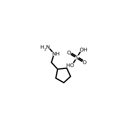 NNCC1CCCC1.O=S(=O)(O)O